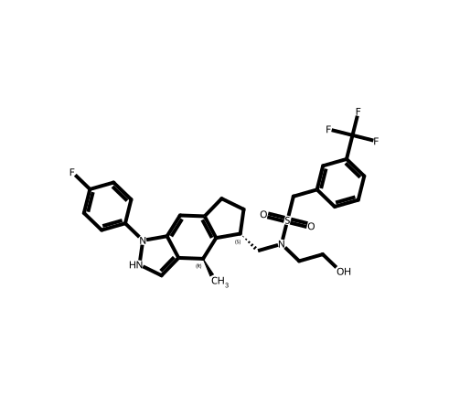 C[C@H]1C2=CNN(c3ccc(F)cc3)C2=CC2=C1[C@@H](CN(CCO)S(=O)(=O)Cc1cccc(C(F)(F)F)c1)CC2